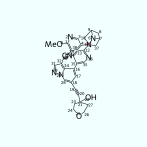 COc1ncc(CN2C3CC2CN(c2ccc(-c4cc(C#CC5(O)CCOCC5)cn5ncc(C#N)c45)cn2)C3)cc1F